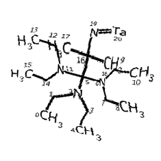 CCN(CC)C(N(CC)CC)(N(CC)CC)C(C)(C)[N]=[Ta]